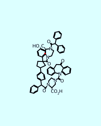 O=C1Cc2ccccc2N(C(=O)N2CCN(C(=O)C(c3ccccc3)c3ccc(C4CCC(C(=O)N5CCN(C(=O)C(c6ccccc6)c6ccccc6)[C@H](C(=O)O)C5)(c5ccccc5)C4)cc3)[C@H](C(=O)O)C2)c2ccccc21